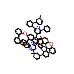 CC1C=CC=C(c2ccccc2-c2cc(-c3ccccc3C3(C)C=CC4=C(C3)C3(c5ccccc5O4)c4ccccc4-c4c(C5=CC(C)(c6cc(-c7ccccc7-c7ccc8oc9ccccc9c9ccccc9c9ccccc9c8c7)nc(-c7ccccc7)n6)CC=C5)cccc43)cc(-c3ccccc3)n2)C1